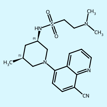 C[C@H]1C[C@@H](NS(=O)(=O)CCN(C)C)CN(c2ccc(C#N)c3ncccc23)C1